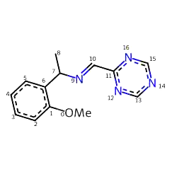 COc1ccccc1C(C)N=Cc1ncncn1